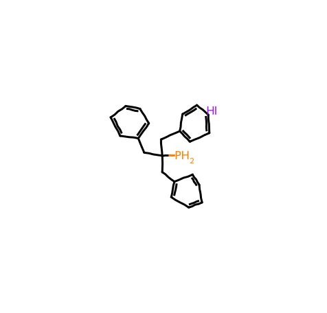 I.PC(Cc1ccccc1)(Cc1ccccc1)Cc1ccccc1